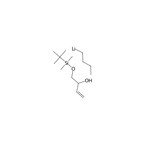 C=CC(O)CO[Si](C)(C)C(C)(C)C.[Li][CH2]CCC